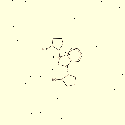 [O-][N+]1(C2CCCC2O)CN(C2CCCC2O)c2ccccc21